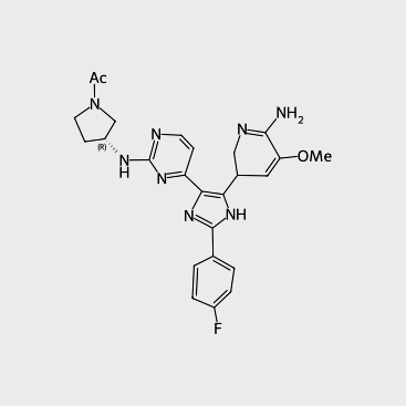 COC1=CC(c2[nH]c(-c3ccc(F)cc3)nc2-c2ccnc(N[C@@H]3CCN(C(C)=O)C3)n2)CN=C1N